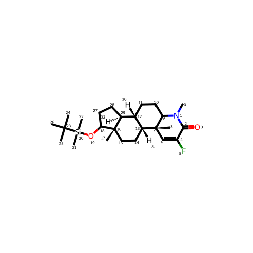 CN1C(=O)C(F)=C[C@@]2(C)C1CC[C@@H]1[C@H]2CC[C@]2(C)C(O[Si](C)(C)C(C)(C)C)CC[C@@H]12